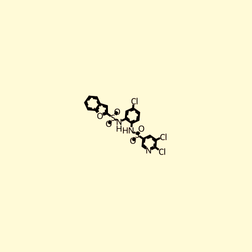 O=S(=O)(Nc1ccc(Cl)cc1NS(=O)(=O)c1cc2ccccc2o1)c1cnc(Cl)c(Cl)c1